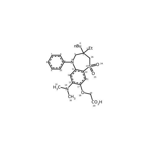 CCCCC1(CC)CN(c2ccccc2)c2cc(N(C)C)c(OCC(=O)O)cc2S(=O)(=O)C1